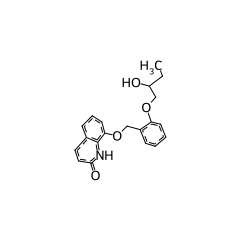 CCC(O)COc1ccccc1COc1cccc2ccc(=O)[nH]c12